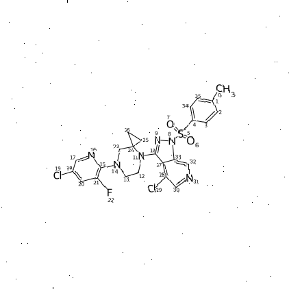 Cc1ccc(S(=O)(=O)n2nc(N3CCN(c4ncc(Cl)cc4F)CC34CC4)c3c(Cl)cncc32)cc1